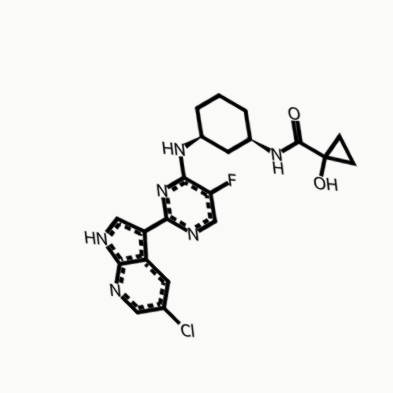 O=C(N[C@@H]1CCC[C@H](Nc2nc(-c3c[nH]c4ncc(Cl)cc34)ncc2F)C1)C1(O)CC1